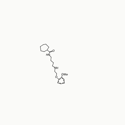 COc1ccccc1OCCNCCCCNC(=O)C1CCCCCC1